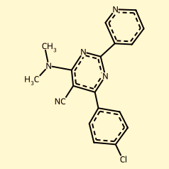 CN(C)c1nc(-c2cccnc2)nc(-c2ccc(Cl)cc2)c1C#N